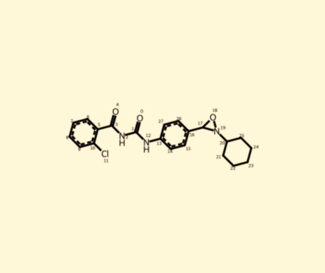 O=C(NC(=O)c1ccccc1Cl)Nc1ccc(C2ON2C2CCCCC2)cc1